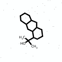 CC(C)(O)C1CCCC2CC3CCCCC3CC21